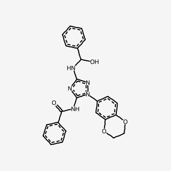 O=C(Nc1nc(NC(O)c2ccccc2)nn1-c1ccc2c(c1)OCCO2)c1ccccc1